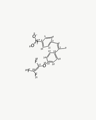 CC(=Cc1ccc([N+](=O)[O-])cc1)c1ccc(OC(F)=C(F)F)cc1